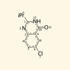 CC(C)c1nc2ccc(Cl)cc2c(=O)[nH]1